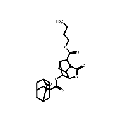 N=C(OCCCS(=O)(=O)O)C1C2CC3C(OC(=O)C31)C2OC(=O)C12CC3CC(C1)C(=O)C(C3)C2